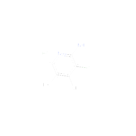 Cc1c(C(F)(F)F)cnc(N)c1Cl.Cl